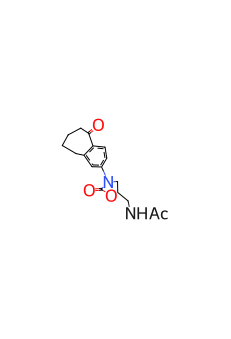 CC(=O)NCC1CN(c2ccc3c(c2)CCCCC3=O)C(=O)O1